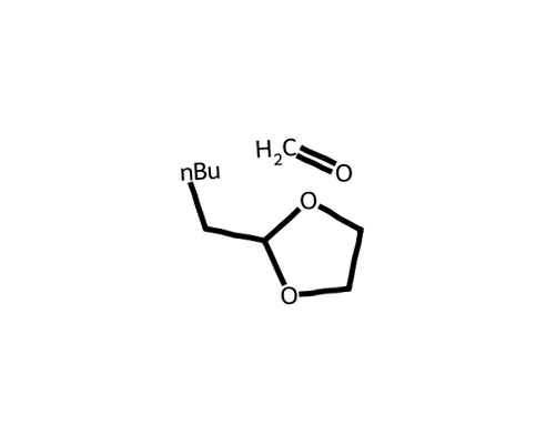 C=O.CCCCCC1OCCO1